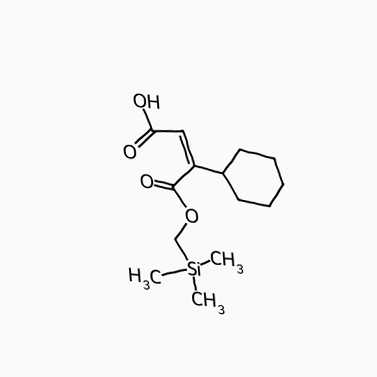 C[Si](C)(C)COC(=O)C(=CC(=O)O)C1CCCCC1